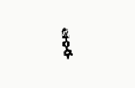 Cc1ccc(-c2ccc(-c3cn4ccsc4n3)cc2)cc1C